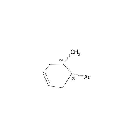 CC(=O)[C@@H]1CC=CC[C@@H]1C